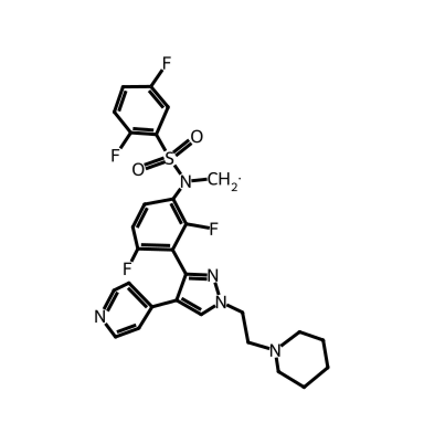 [CH2]N(c1ccc(F)c(-c2nn(CCN3CCCCC3)cc2-c2ccncc2)c1F)S(=O)(=O)c1cc(F)ccc1F